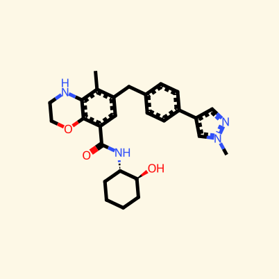 Cc1c(Cc2ccc(-c3cnn(C)c3)cc2)cc(C(=O)N[C@H]2CCCC[C@@H]2O)c2c1NCCO2